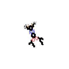 CCCCC(CC)COc1cc2nc3c4cc([Si](C)(C)C)sc4c4sc([Si](C)(C)C)cc4c3nc2cc1OCC(CC)CCCC